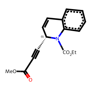 CCOC(=O)N1c2ccccc2C=C[C@H]1C#CC(=O)OC